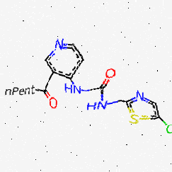 CCCCCC(=O)c1cnccc1NC(=O)Nc1ncc(Cl)s1